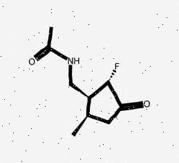 CC(=O)NC[C@@H]1[C@H](C)CC(=O)[C@H]1F